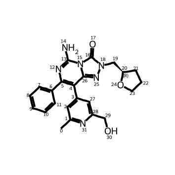 Cc1cc(-c2c(-c3ccccc3)nc(N)n3c(=O)n(C[C@H]4CCCO4)nc23)cc(CO)n1